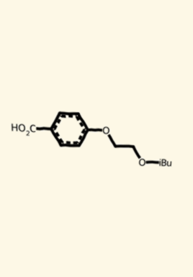 CCC(C)OCCOc1ccc(C(=O)O)cc1